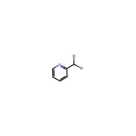 BrC(Br)c1[c]cccn1